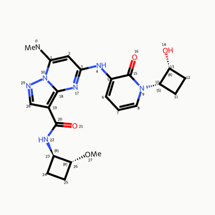 CNc1cc(Nc2cccn([C@H]3CC[C@H]3O)c2=O)nc2c(C(=O)N[C@@H]3CC[C@H]3OC)cnn12